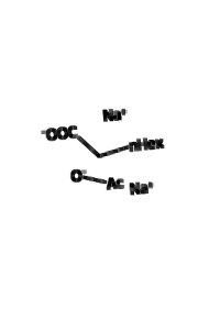 CC(=O)[O-].CCCCCCCC(=O)[O-].[Na+].[Na+]